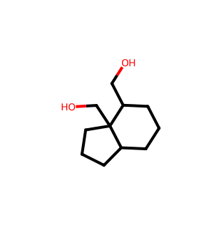 OCC1CCCC2CCCC12CO